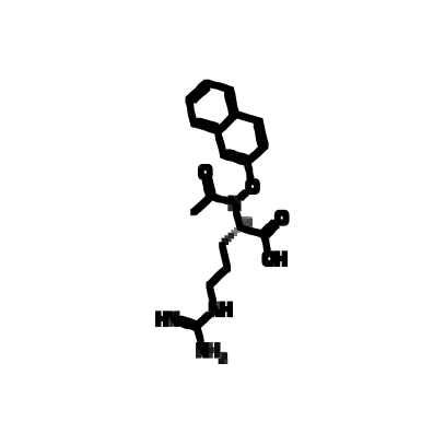 CC(=O)N(Oc1ccc2ccccc2c1)[C@@H](CCCNC(=N)N)C(=O)O